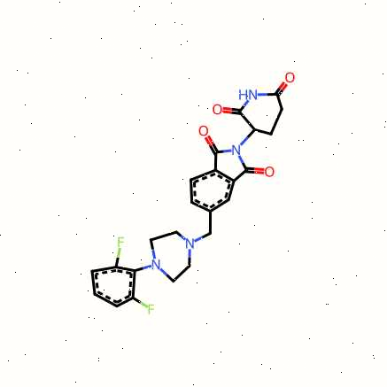 O=C1CCC(N2C(=O)c3ccc(CN4CCN(c5c(F)cccc5F)CC4)cc3C2=O)C(=O)N1